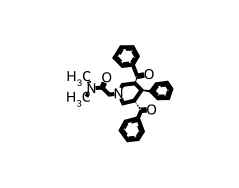 CN(C)C(=O)CN1C[C@H](C(=O)c2ccccc2)[C@@H](c2ccccc2)[C@H](C(=O)c2ccccc2)C1